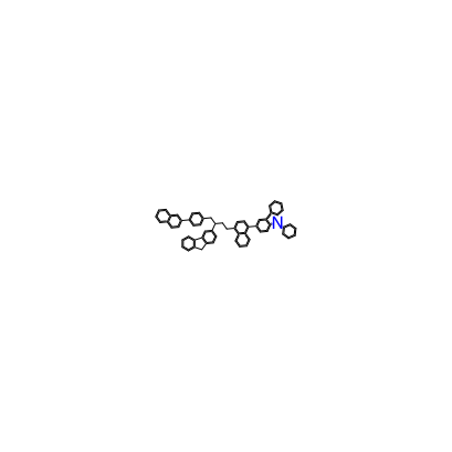 c1ccc(-n2c3ccccc3c3cc(-c4ccc(CCC(Cc5ccc(-c6ccc7ccccc7c6)cc5)c5ccc6c(c5)-c5ccccc5C6)c5ccccc45)ccc32)cc1